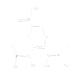 COC(=O)c1cnc(N(N)C(N)=O)c(N(N)C(N)=O)c1